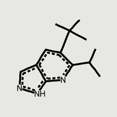 CC(C)c1nc2[nH]ncc2cc1C(C)(C)C